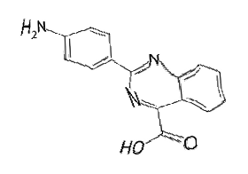 Nc1ccc(-c2nc(C(=O)O)c3ccccc3n2)cc1